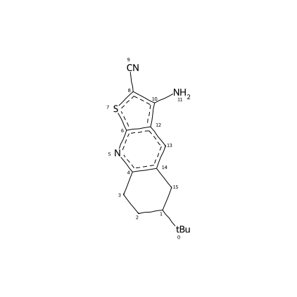 CC(C)(C)C1CCc2nc3sc(C#N)c(N)c3cc2C1